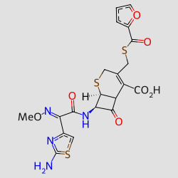 CO/N=C(/C(=O)N[C@@H]1C(=O)C2C(C(=O)O)=C(CSC(=O)c3ccco3)CS[C@@H]21)c1csc(N)n1